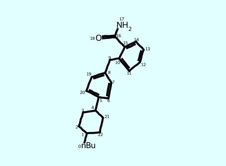 CCCCC1CCC(c2ccc(Cc3ccccc3C(N)=O)cc2)CC1